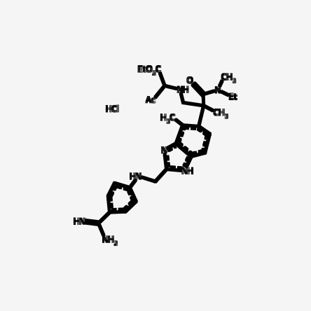 CCOC(=O)C(NCC(C)(C(=O)N(C)CC)c1ccc2[nH]c(CNc3ccc(C(=N)N)cc3)nc2c1C)C(C)=O.Cl